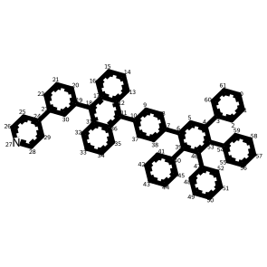 c1ccc(-c2cc(-c3ccc(-c4c5ccccc5c(-c5cccc(-c6ccncc6)c5)c5ccccc45)cc3)c(-c3ccccc3)c(-c3ccccc3)c2-c2ccccc2)cc1